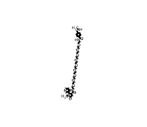 CNCc1ccc(C(=O)NCCOCCOCCOCCOCCOCCOCCOCCOCCOCCNC(=O)[C@H]2CC(=O)N(C)C2c2cccnc2)cc1